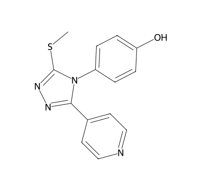 CSc1nnc(-c2ccncc2)n1-c1ccc(O)cc1